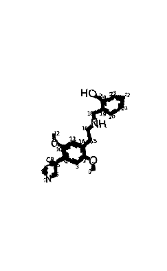 COc1cc(-c2cncs2)c(OC)cc1CCNCc1ccccc1O